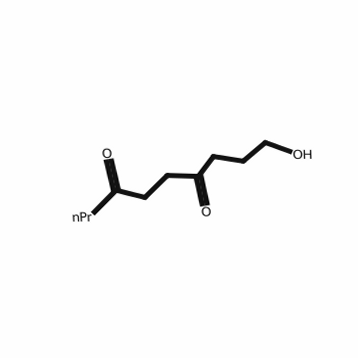 CCCC(=O)CCC(=O)CCCO